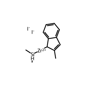 CC1=Cc2ccccc2[CH]1[Zr+2][SiH](C)C.[I-].[I-]